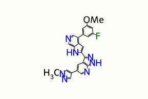 COc1cc(F)cc(-c2cncc3[nH]c(-c4n[nH]c5ncc(-c6cnn(C)c6)cc45)cc23)c1